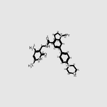 Cc1cc(C)c(CNC(=O)c2cc(-c3ccc(N4CCOCC4)cc3)cc3c2CCN3C(C)C)c(=O)[nH]1